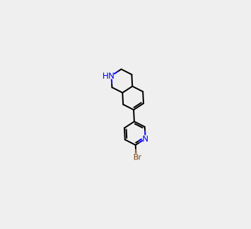 Brc1ccc(C2=CCC3CCNCC3C2)cn1